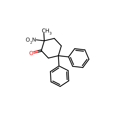 CC1([N+](=O)[O-])CCC(c2ccccc2)(c2ccccc2)CC1=O